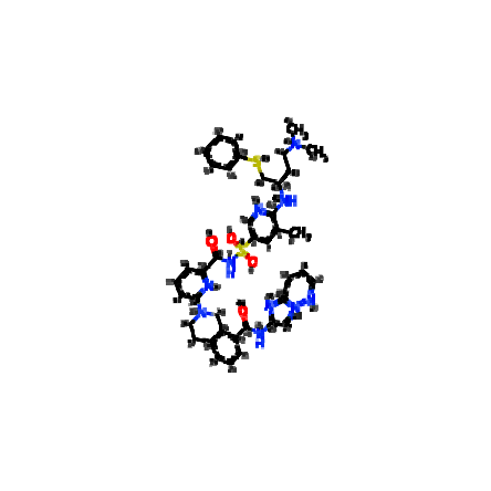 Cc1cc(S(=O)(=O)NC(=O)c2cccc(N3CCc4cccc(C(=O)Nc5cn6ncccc6n5)c4C3)n2)cnc1N[C@H](CCN(C)C)CSc1ccccc1